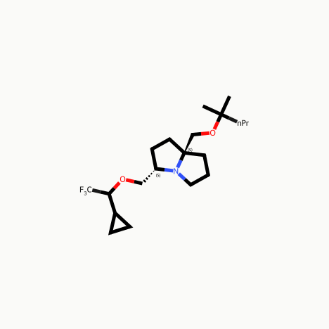 CCCC(C)(C)OC[C@@]12CCCN1[C@H](COC(C1CC1)C(F)(F)F)CC2